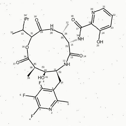 Cc1nc(F)c(F)c(F)c1C[C@@H]1NC(=O)[C@@H](NC(=O)c2ncccc2O)[C@@H](C)NC(=O)C(C(C)C(C)C)OC(=O)[C@H](C)[C@@H]1O